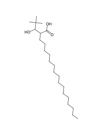 CCCCCCCCCCCCCCCCC(C(=O)O)C(O)C(C)(C)C